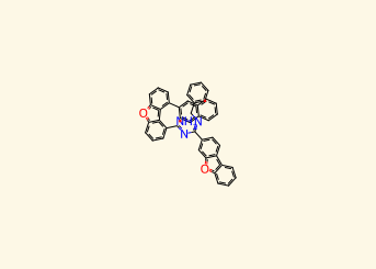 N/C(=N\C(=N/Cc1ccccc1)c1ccc2c(c1)oc1ccccc12)c1cccc2oc3cccc(-c4ccc5ccccc5c4)c3c12